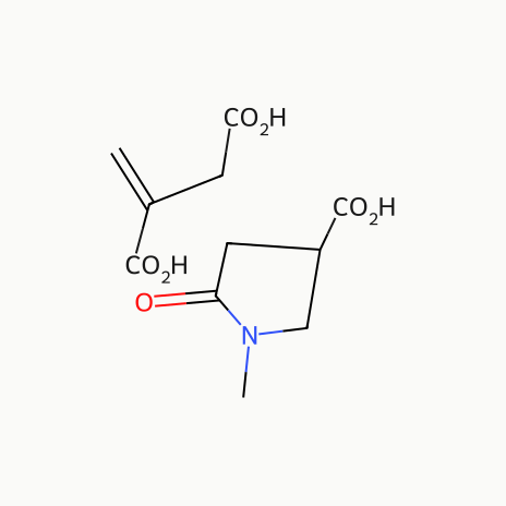 C=C(CC(=O)O)C(=O)O.CN1CC(C(=O)O)CC1=O